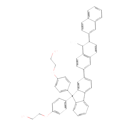 CC1c2ccc(-c3ccc4c(c3)C(c3ccc(OCCO)cc3)(c3ccc(OCCO)cc3)c3ccccc3-4)cc2C=CC1c1ccc2ccccc2c1